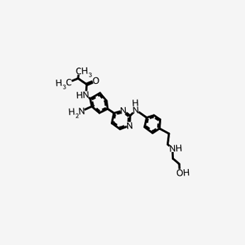 CC(C)C(=O)Nc1ccc(-c2ccnc(Nc3ccc(CCNCCO)cc3)n2)cc1N